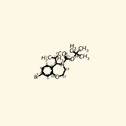 CC(C)C1c2ccc(Br)cc2OCCN1C(=O)OC(C)(C)C